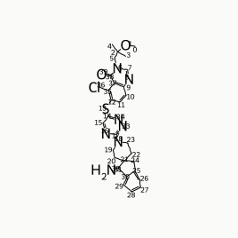 COC(C)(C)Cn1cnc2ccc(Sc3cnc(N4CCC5(CC4)Cc4ccccc4[C@H]5N)nn3)c(Cl)c2c1=O